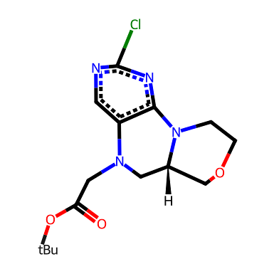 CC(C)(C)OC(=O)CN1C[C@H]2COCCN2c2nc(Cl)ncc21